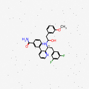 COc1cccc(CC(O)N[C@@H](Cc2cc(F)cc(F)c2)c2ncccc2-c2cccc(C(N)=O)c2)c1